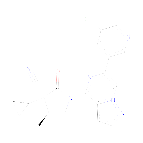 C[C@@H]1CN(c2nc(-c3cncc(Cl)c3)cn3nccc23)C(=O)[C@]1(C#N)C1CC1